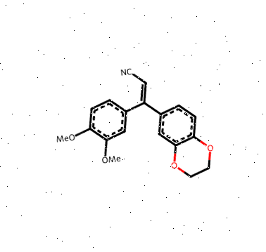 COc1ccc(C(=CC#N)c2ccc3c(c2)OCCO3)cc1OC